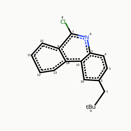 CC(C)(C)Cc1ccc2nc(Cl)c3ccccc3c2c1